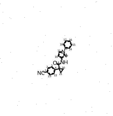 N#Cc1ccc(C2(C(=O)Nc3ccn(-c4ccccc4)n3)CC2)cc1